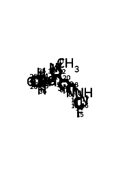 Cc1cc(-c2ccn3nc(Nc4ccc(F)cn4)cc3c2)c(O[C@H]2C[C@H]3COC[C@@H](C2)N3C)cn1